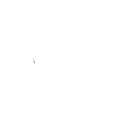 O=C(O)c1ccc(CCC[C@@H]2[C@@H](CCc3cc(Cl)cc(Cl)c3)[C@H](O)C[C@@H]2Cl)s1